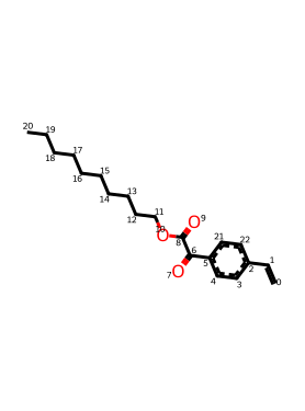 C=Cc1ccc(C(=O)C(=O)OCCCCCCCCCC)cc1